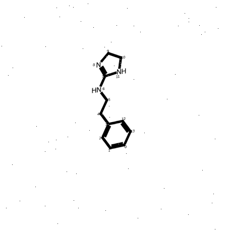 c1ccc(CCNC2=NCCN2)cc1